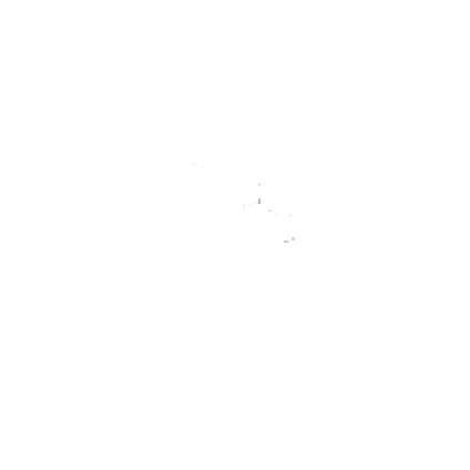 COc1ccc(CN2C(=O)CC(C)(C)N(CC3(C)CCC(=O)CC3)C2=O)cc1